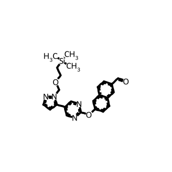 C[Si](C)(C)CCOCn1nccc1-c1cnc(Oc2ccc3cc(C=O)ccc3c2)nc1